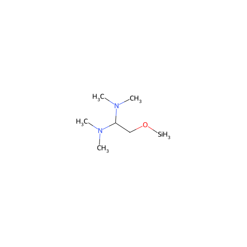 CN(C)C(CO[SiH3])N(C)C